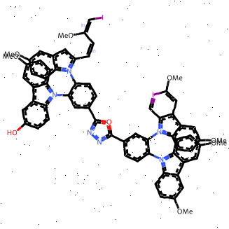 COC1=Cc2c(n(-c3cc(-c4nnc(-c5ccc(-n6c(/C=C\C(=C/I)OC)cc7cc(OC)ccc76)c(-n6c7ccc(O)cc7c7cc(OC)ccc76)c5)o4)ccc3-n3c4ccc(OC)cc4c4cc(OC)ccc43)c3ccc(OC)cc23)C=I1